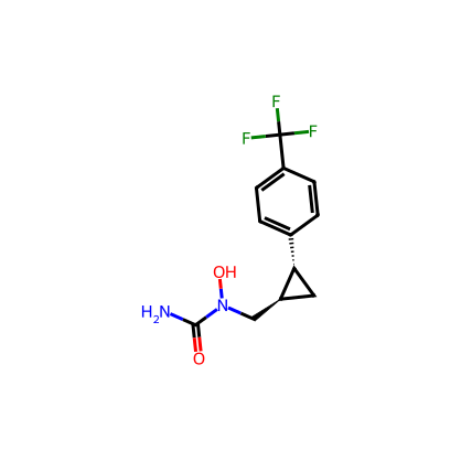 NC(=O)N(O)C[C@@H]1C[C@H]1c1ccc(C(F)(F)F)cc1